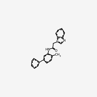 Cc1ccc(-c2ccccc2)cc1NC(=O)Cn1cnc2ccccc21